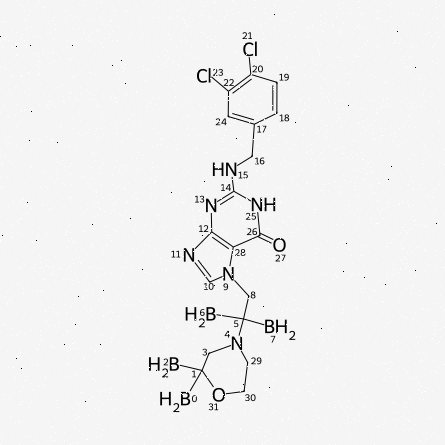 BC1(B)CN(C(B)(B)Cn2cnc3nc(NCc4ccc(Cl)c(Cl)c4)[nH]c(=O)c32)CCO1